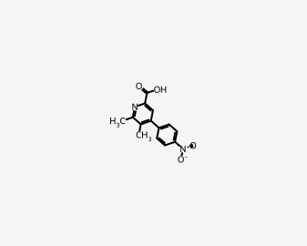 Cc1nc(C(=O)O)cc(-c2ccc([N+](=O)[O-])cc2)c1C